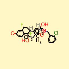 C[C@]12C[C@H](O)[C@@]3(F)[C@@H](C[C@H](F)C4=CC(=O)C=C[C@@]43C)[C@]1(C)C[C@H]1CN(Cc3ccccc3Cl)O[C@]12C(=O)CO